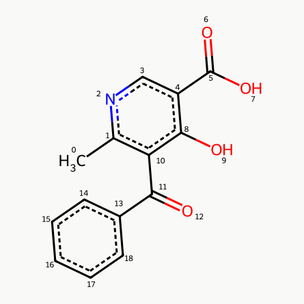 Cc1ncc(C(=O)O)c(O)c1C(=O)c1ccccc1